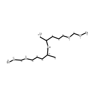 CCOCOCCC[CH](C)[Cu][CH](C)CCCOCOCC.[Li]